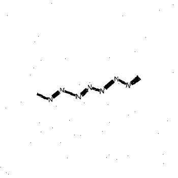 C=NN=NN=NN=NC